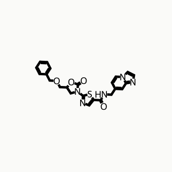 O=C(NCc1ccn2ccnc2c1)c1cnc(N2CC(COCc3ccccc3)OC2=O)s1